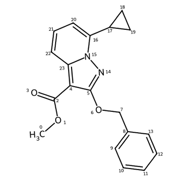 COC(=O)c1c(OCc2ccccc2)nn2c(C3CC3)cccc12